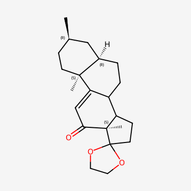 C[C@@H]1CC[C@]2(C)C3=CC(=O)[C@@]4(C)C(CCC45OCCO5)C3CC[C@@H]2C1